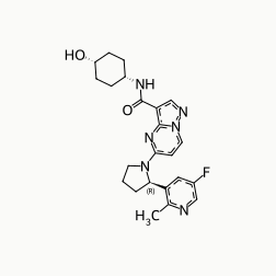 Cc1ncc(F)cc1[C@H]1CCCN1c1ccn2ncc(C(=O)N[C@H]3CC[C@@H](O)CC3)c2n1